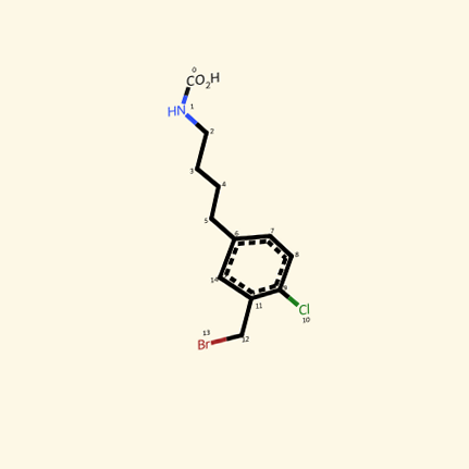 O=C(O)NCCCCc1ccc(Cl)c(CBr)c1